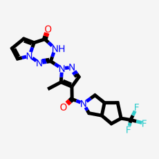 Cc1c(C(=O)N2CC3CC(C(F)(F)F)CC3C2)cnn1-c1nn2cccc2c(=O)[nH]1